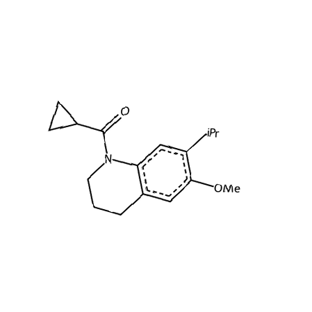 COc1cc2c(cc1C(C)C)N(C(=O)C1CC1)CCC2